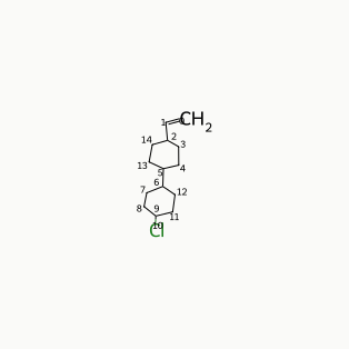 C=CC1CCC(C2CCC(Cl)CC2)CC1